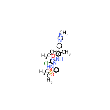 Cc1cc(Nc2ncc(Cl)c(Nc3ccccc3S(=O)(=O)C(C)C)n2)c(OC(C)C)cc1[C@H]1CC[C@@H](N2CCN(C)CC2)CC1